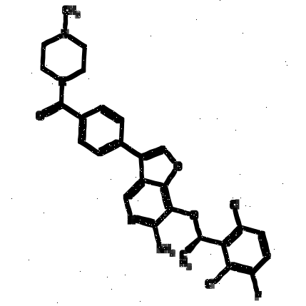 C[C@@H](Oc1c(N)ncc2c(-c3ccc(C(=O)N4CCN(C)CC4)cc3)coc12)c1c(Cl)ccc(F)c1Cl